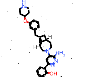 Nc1nnc(-c2ccccc2O)cc1N1CC[C@H]2CC3(Cc4cccc(OC5CCNCC5)c4)C2[C@H]3C1